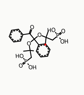 CC(C)(CP(=O)(O)O)OC(OC(C)(C)CP(=O)(O)O)(C(=O)c1ccccc1)c1ccccc1